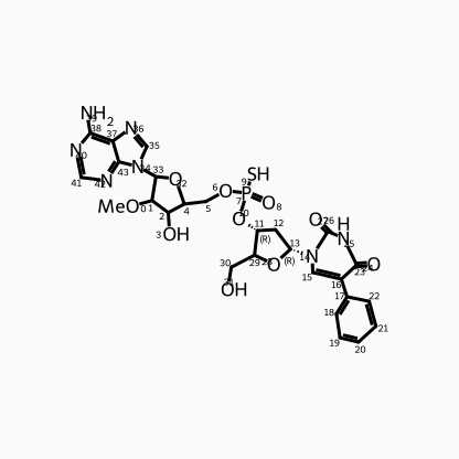 COC1C(O)C(COP(=O)(S)O[C@@H]2C[C@H](n3cc(-c4ccccc4)c(=O)[nH]c3=O)OC2CO)OC1n1cnc2c(N)ncnc21